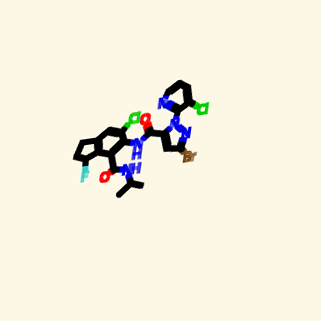 CC(C)NC(=O)c1c(NC(=O)c2cc(Br)nn2-c2ncccc2Cl)c(Cl)cc2c1C(F)CC2